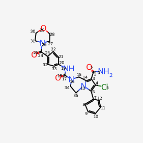 NC(=O)c1c(Cl)c(-c2ccccc2)n2c1CN(C(=O)Nc1ccc(C(=O)N3CCOCC3)cc1)CC2